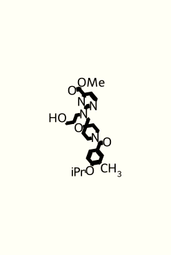 COC(=O)c1ccnc(N2CC(CO)OC3(CCN(C(=O)c4ccc(OC(C)C)c(C)c4)CC3)C2)n1